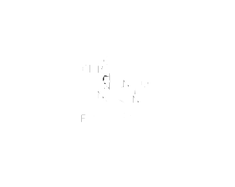 COc1nc(OC)c2c(CC(F)(F)F)n[nH]c2n1.ClB(Cl)Cl